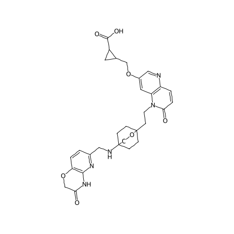 O=C1COc2ccc(CNC34CCC(CCn5c(=O)ccc6ncc(OCC7CC7C(=O)O)cc65)(CC3)OC4)nc2N1